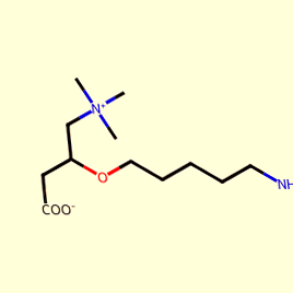 C[N+](C)(C)CC(CC(=O)[O-])OCCCCCN